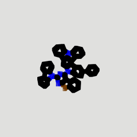 c1ccc(-c2ccc3c(c2)c2c4c5ccccc5n5c6ccccc6c(cc2n3-c2nc(-n3c6ccccc6c6ccccc63)nc3sc6ccccc6c23)c45)cc1